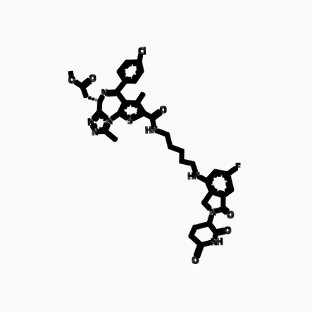 COC(=O)C[C@@H]1N=C(c2ccc(Cl)cc2)c2c(sc(C(=O)NCCCCCNc3cc(F)cc4c3CN(C3CCC(=O)NC3=O)C4=O)c2C)-n2c(C)nnc21